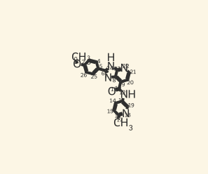 COc1ccc(-c2nc3c(C(=O)Nc4ccc(C)nc4)ccnc3[nH]2)cc1